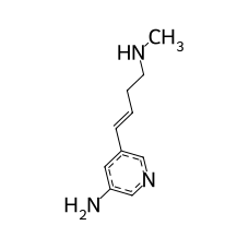 CNCC/C=C/c1cncc(N)c1